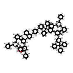 c1ccc(-c2nc(-c3ccccc3)nc(-c3cccc4oc5c(-c6ccc(C(c7ccccc7)(c7ccccc7)c7ccccc7)cc6)cc(-c6ccc(C(c7ccccc7)(c7ccccc7)c7cccc(-c8ccc(-c9ccc(-c%10cc(-c%11ccc(-c%12ccccc%12)c%12ccccc%11%12)cc%11c%10oc%10cccc(-c%12nc(-c%13ccccc%13)nc(-c%13ccccc%13)n%12)c%10%11)c%10ccccc9%10)cc8)c7)cc6)cc5c34)n2)cc1